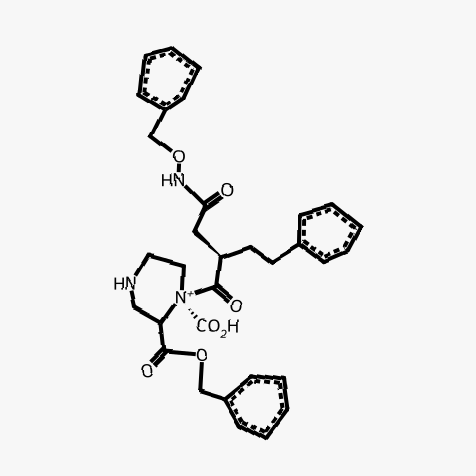 O=C(C[C@@H](CCc1ccccc1)C(=O)[N@+]1(C(=O)O)CCNCC1C(=O)OCc1ccccc1)NOCc1ccccc1